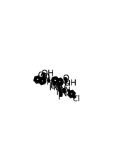 O=S(O)c1cc(Nc2nc(F)nc(Nc3ccc(Cl)cc3)n2)c2c(O)c(/N=N/c3ccc4ccccc4c3S(=O)(=O)O)ccc2c1